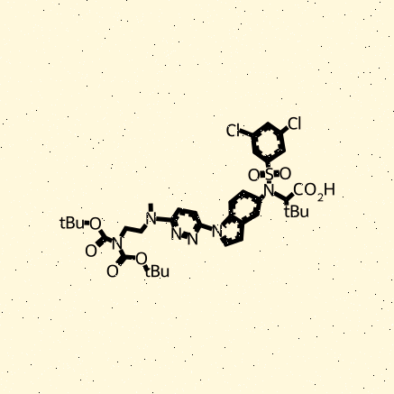 CN(CCN(C(=O)OC(C)(C)C)C(=O)OC(C)(C)C)c1ccc(-n2ccc3cc(N(C(C(=O)O)C(C)(C)C)S(=O)(=O)c4cc(Cl)cc(Cl)c4)ccc32)nn1